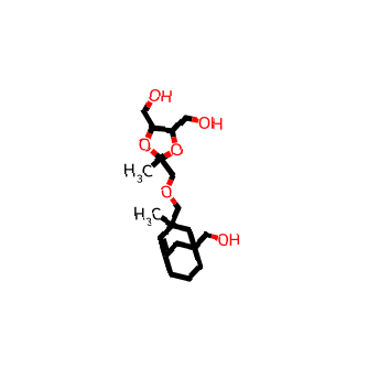 CC1(COCC2(C)OC(CO)C(CO)O2)C=C2CCCC(CO)(C2)C1